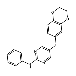 c1ccc(Nc2ncc(Oc3ccc4c(c3)OCCO4)cn2)cc1